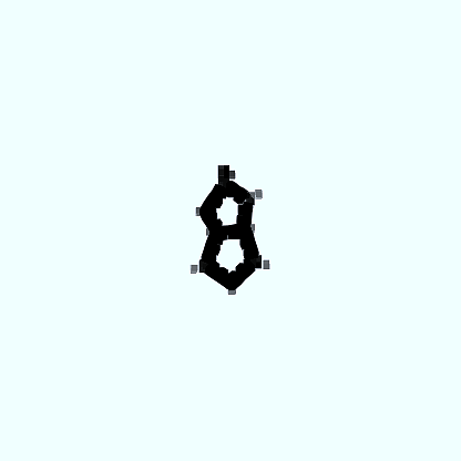 c1nc2n[nH]cc2s1